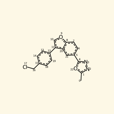 Cc1nnc(-c2ccc3occ(-c4ccc(CCl)cc4)c3c2)o1